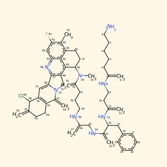 C=C(CCCCCN)NCCC(=C)NC(Cc1ccccc1)C(=C)NCC(=C)NCCCC(=C)N(C)C1CCc2c(C)c(F)cc3nc4c(c1c23)CN1C(=C)C2=C(C=C41)C(Cl)C(=C)CC2